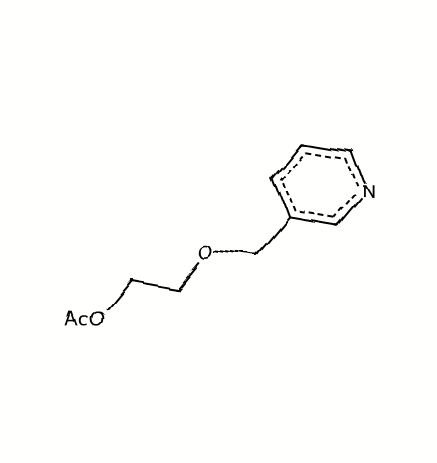 CC(=O)OCCOCc1cccnc1